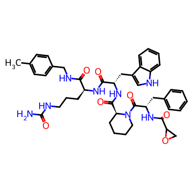 Cc1ccc(CNC(=O)[C@H](CCCNC(N)=O)NC(=O)[C@H](Cc2c[nH]c3ccccc23)NC(=O)[C@@H]2CCCCN2C(=O)[C@H](Cc2ccccc2)NC(=O)C2CO2)cc1